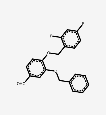 O=Cc1ccc(OCc2ccc(F)cc2F)c(OCc2ccccc2)c1